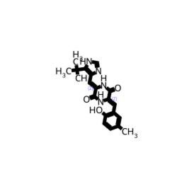 Cc1ccc(O)c(/C=c2\[nH]c(=O)/c(=C/c3nc[nH]c3C(C)(C)C)[nH]c2=O)c1